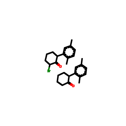 Cc1ccc(C)c(C2CCCC(Br)C2=O)c1.Cc1ccc(C)c(C2CCCCC2=O)c1